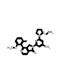 COc1cccc(F)c1-c1nccc2c1CN(c1cc(C)cc(N3CCC[C@@H]3CN)n1)C2=O